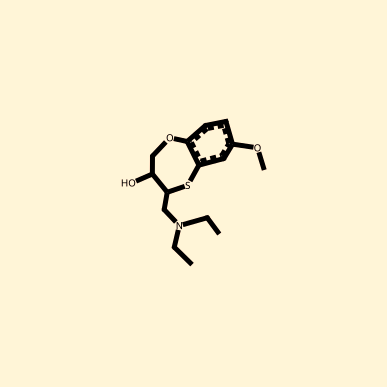 CCN(CC)CC1Sc2cc(OC)ccc2OCC1O